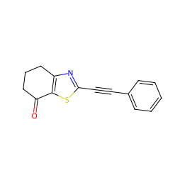 O=C1CCCc2nc(C#Cc3ccccc3)sc21